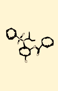 CC(C)N(c1ccc(Cl)cc1OC(=O)c1ccccc1)S(=O)(=O)c1ccccc1